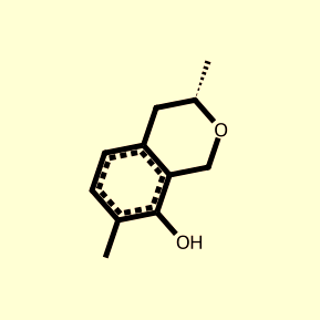 Cc1ccc2c(c1O)CO[C@@H](C)C2